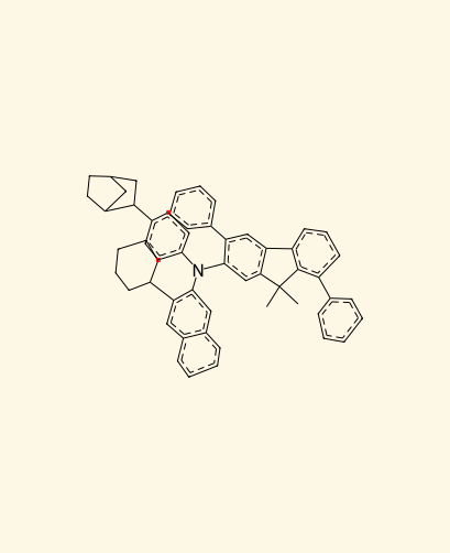 CC1(C)c2cc(N(c3ccc(C4CC5CCC4C5)cc3)c3cc4ccccc4cc3C3CCCCC3)c(-c3ccccc3)cc2-c2cccc(-c3ccccc3)c21